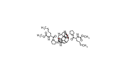 COC(=O)N[C@@H](CCSC)C(=O)N1CCC[C@H]1c1nc(C2=CC3=CC[C@@H]2CC[C@@H]2C=CC(=C(c4c[nH]c([C@@H]5CCCN5C(=O)[C@H](CCSC)NC(=O)OC)n4)C2)CC3)c[nH]1